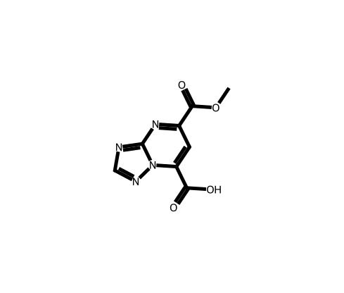 COC(=O)c1cc(C(=O)O)n2ncnc2n1